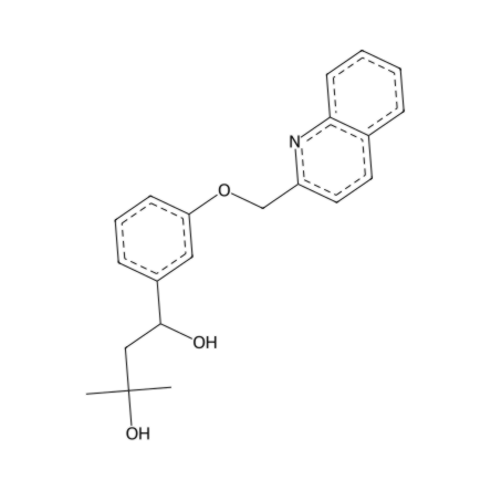 CC(C)(O)CC(O)c1cccc(OCc2ccc3ccccc3n2)c1